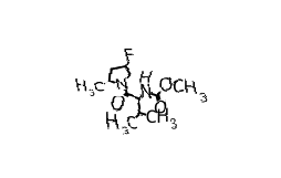 COC(=O)N[C@H](C(=O)N1C[C@H](F)C[C@H]1C)C(C)C